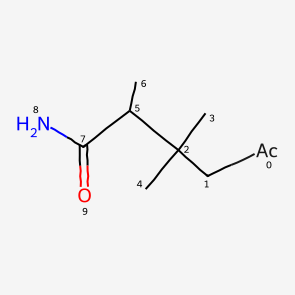 CC(=O)CC(C)(C)C(C)C(N)=O